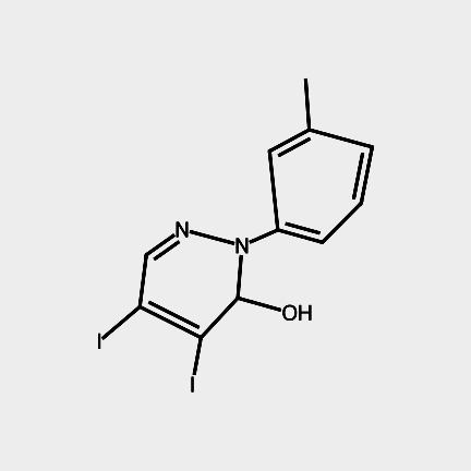 Cc1cccc(N2N=CC(I)=C(I)C2O)c1